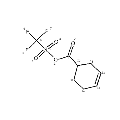 O=C(OS(=O)(=O)C(F)(F)F)C1CC=CCC1